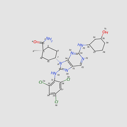 C[C@]1(C(N)=O)CC[C@H](n2c(Nc3c(Cl)cc(Cl)cc3Cl)nc3cnc(NC4CCCC(O)C4)nc32)CC1